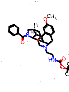 COc1ccc2c(c1)C13CCN(CCNC(=O)OC(C)(C)C)C(C2)C12CCC1C3[C@@H](CN1C(=O)c1ccccc1)C2